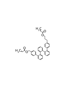 C=CC(=O)OCCCc1ccc(-c2ccccc2-c2ccccc2-c2ccccc2-c2ccc(COC(=O)C=C)cc2)cc1